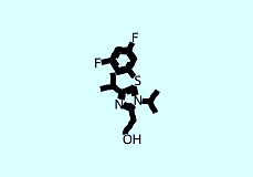 CC(C)c1nc(CCO)n(C(C)C)c1Sc1cc(F)cc(F)c1